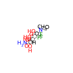 CCN(Cc1cc(O)c2c(c1C(F)(F)F)CC1C[C@H]3CC(O)=C(C(N)=O)C(=O)[C@@]3(O)C(O)=C1C2=O)C1Cc2ccccc2C1